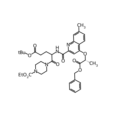 CCOC(=O)N1CCN(C(=O)C(CCC(=O)OC(C)(C)C)NC(=O)c2cc(O[C@H](C)C(=O)OCc3ccccc3)c3ccc(C)cc3n2)CC1